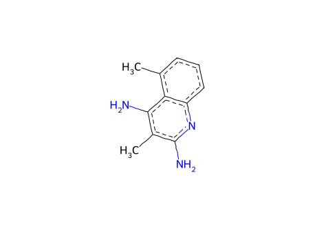 Cc1c(N)nc2cccc(C)c2c1N